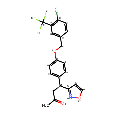 CC(=O)C[C@@H](c1ccc(OCc2ccc(Cl)c(C(F)(F)F)c2)cc1)c1ccon1